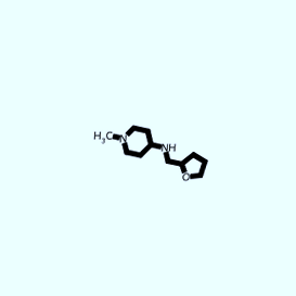 CN1CCC(NCC2CCCO2)CC1